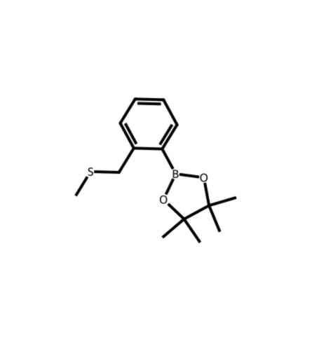 CSCc1ccccc1B1OC(C)(C)C(C)(C)O1